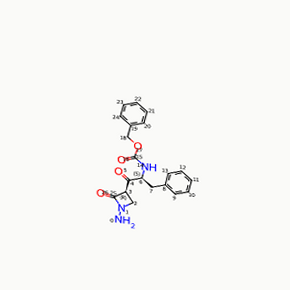 NN1C[C@H](C(=O)[C@H](Cc2ccccc2)NC(=O)OCc2ccccc2)C1=O